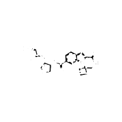 C=CC(=O)N[C@H]1COC[C@H]1NC(=O)c1ccc2cc3n(c2c1)C1(CCC1)CNC3=O